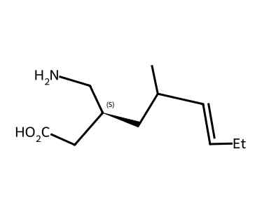 CCC=CC(C)C[C@H](CN)CC(=O)O